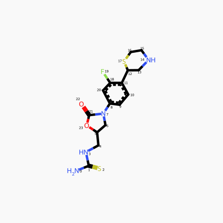 NC(=S)NCC1CN(c2ccc(C3CNCCS3)c(F)c2)C(=O)O1